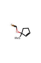 CSC1(OC=S)C=CCC1